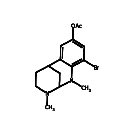 CC(=O)Oc1cc(Br)c2c(c1)C1CCN(C)C(C1)N2C